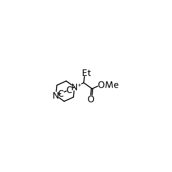 CCC(C(=O)OC)[N+]12CCN(CC1)CC2